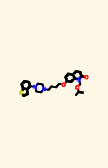 C=C(C)OCn1c(=O)ccc2ccc(OCCCCN3CCN(c4cccc5sccc45)CC3)cc21